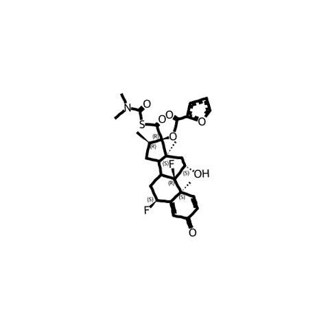 C[C@@H]1CC2C3C[C@H](F)C4=CC(=O)C=C[C@]4(C)[C@@]3(F)[C@@H](O)C[C@]2(C)[C@@]1(OC(=O)c1ccco1)C(=O)SC(=O)N(C)C